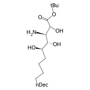 CCCCCCCCCCCCCC[C@@H](O)[C@@H](O)[C@@H](N)C(O)C(=O)OC(C)(C)C